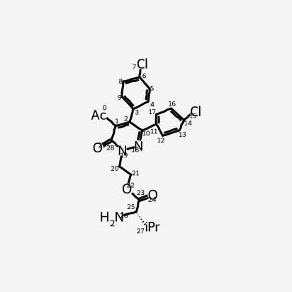 CC(=O)c1c(-c2ccc(Cl)cc2)c(-c2ccc(Cl)cc2)nn(CCOC(=O)[C@@H](N)C(C)C)c1=O